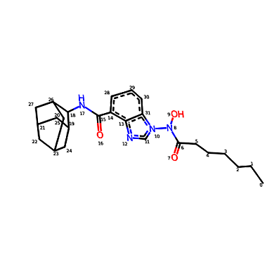 CCCCCCC(=O)N(O)n1cnc2c(C(=O)NC3C4CC5CC(C4)CC3C5)cccc21